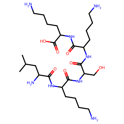 CC(C)CC(N)C(=O)NC(CCCCN)C(=O)NC(CO)C(=O)NC(CCCCN)C(=O)NC(CCCCN)C(=O)O